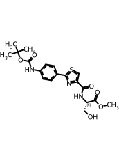 COC(=O)[C@H](CO)NC(=O)c1csc(-c2ccc(NC(=O)OC(C)(C)C)cc2)n1